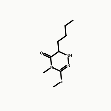 CCCCC1NN=C(SC)N(C)C1=O